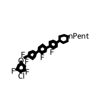 CCCCCC1CCC(c2ccc(-c3ccc(-c4ccc(C(F)(F)Oc5cc(F)c(Cl)c(F)c5)cc4)c(F)c3)c(F)c2)CC1